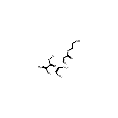 C=C(C)C(=O)OO.C=CC(=O)OCCO.O=C(O)/C=C\C(=O)O